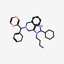 CCCCN1C(CN(Cc2ccccc2)C(C2=CC=CCC2)C2=COC=CO2)=CNC1C1CCCCC1